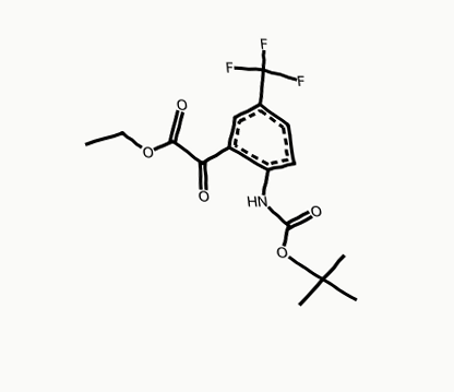 CCOC(=O)C(=O)c1cc(C(F)(F)F)ccc1NC(=O)OC(C)(C)C